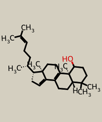 CC(C)=CCC[C@@H](C)[C@H]1CC=C2C3=C(CC[C@@]21C)[C@@]1(C)C(O)CCC(C)(C)[C@@H]1CC3